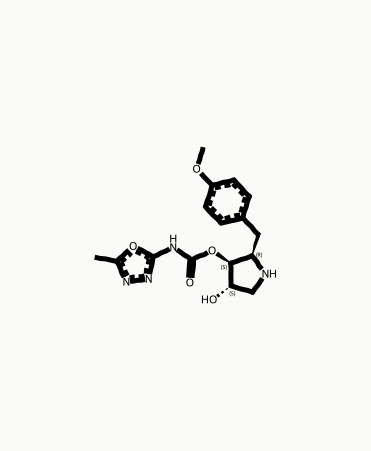 COc1ccc(C[C@H]2NC[C@H](O)[C@H]2OC(=O)Nc2nnc(C)o2)cc1